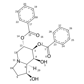 O=C(O[C@H]1[C@@H](O)[C@H]2[C@@H](O)CCN2C[C@@H]1OC(=O)c1ccccc1)c1ccccc1